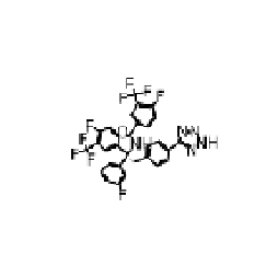 O=C(N[C@@](Cc1ccc(-c2nn[nH]n2)cc1)(c1cccc(F)c1)c1ccc(F)c(C(F)(F)F)c1)c1ccc(F)c(C(F)(F)F)c1